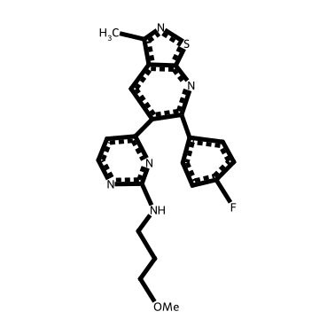 COCCCNc1nccc(-c2cc3c(C)nsc3nc2-c2ccc(F)cc2)n1